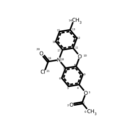 CC(=O)Oc1ccc2c(c1)Oc1cc(C)ccc1N2C(=O)Cl